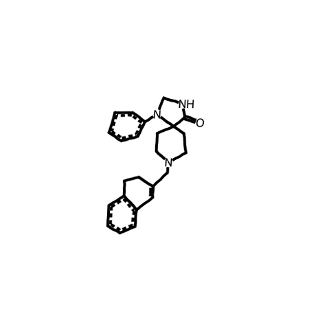 O=C1NCN(c2ccccc2)C12CCN(CC1=Cc3ccccc3CC1)CC2